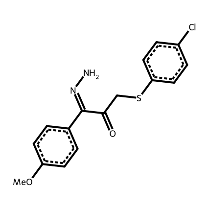 COc1ccc(C(=NN)C(=O)CSc2ccc(Cl)cc2)cc1